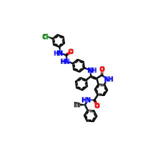 CC[C@@H](NC(=O)c1ccc2c(c1)/C(=C(/Nc1ccc(NC(=O)Nc3cccc(Cl)c3)cc1)c1ccccc1)C(=O)N2)c1ccccc1